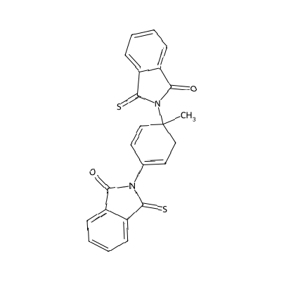 CC1(N2C(=O)c3ccccc3C2=S)C=CC(N2C(=O)c3ccccc3C2=S)=CC1